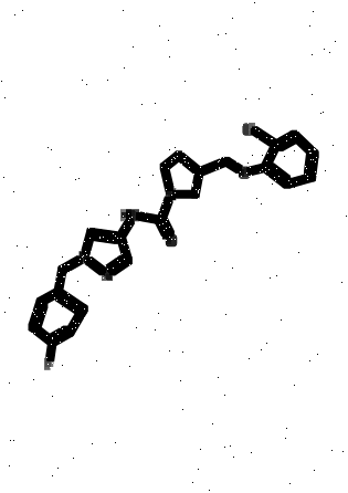 O=C(Nc1cnn(Cc2ccc(F)cc2)c1)N1CCC(COc2ccccc2Cl)C1